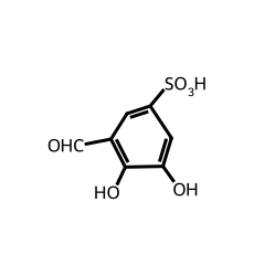 O=Cc1cc(S(=O)(=O)O)cc(O)c1O